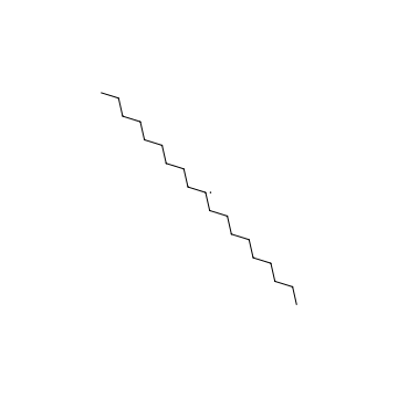 CCCCCCCCC[CH]CCCCCCCCC